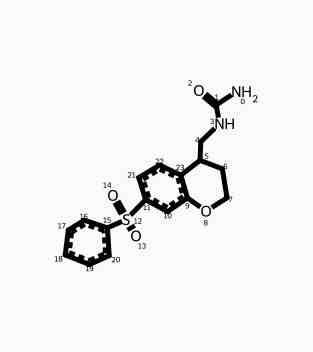 NC(=O)NCC1CCOc2cc(S(=O)(=O)c3ccccc3)ccc21